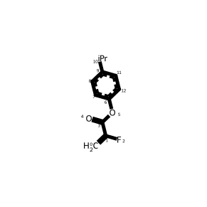 C=C(F)C(=O)Oc1ccc(C(C)C)cc1